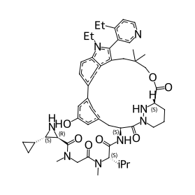 CCc1ccncc1-c1c2c3cc(ccc3n1CC)-c1cc(O)cc(c1)C[C@H](NC(=O)[C@H](C(C)C)N(C)C(=O)CN(C)C(=O)[C@@H]1N[C@H]1C1CC1)C(=O)N1CCC[C@H](N1)C(=O)OCC(C)(C)C2